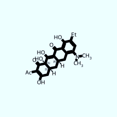 CCc1cc(N(C)C)c2c(c1O)C(=O)C1=C(O)[C@]3(O)C(=O)C(C(C)=O)=C(O)C[C@@H]3C[C@@H]1C2